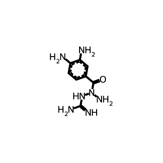 N=C(N)NN(N)C(=O)c1ccc(N)c(N)c1